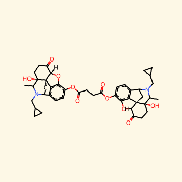 CC1N(CC2CC2)C2C[C@]34c5c2ccc(OC(=O)CCC(=O)Oc2ccc6c7c2O[C@H]2C(=O)CC[C@@]8(O)C(C)N(CC9CC9)C6C[C@]728)c5O[C@H]3C(=O)CC[C@@]14O